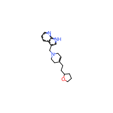 C1=C(CCC2CCCO2)CCN(Cc2c[nH]c3ncccc23)C1